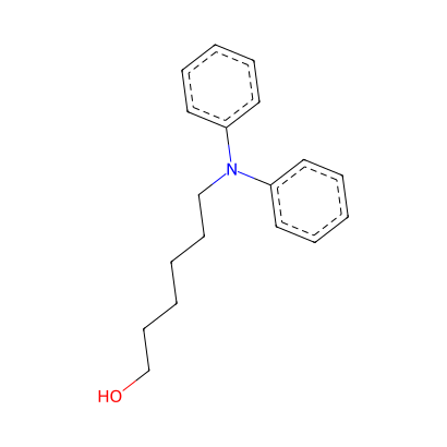 OCCCCCCN(c1ccccc1)c1ccccc1